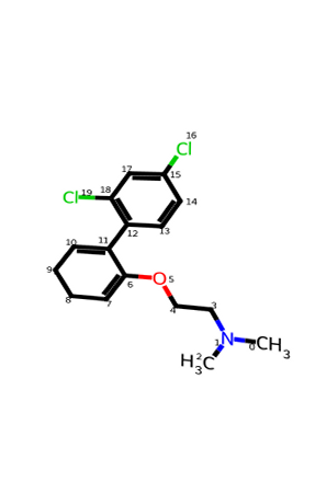 CN(C)CCOC1=CC[CH]C=C1c1ccc(Cl)cc1Cl